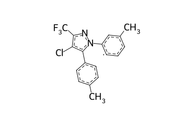 Cc1ccc(-c2c(Cl)c(C(F)(F)F)nn2-c2[c]ccc(C)c2)cc1